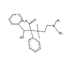 CC(C)N(CCC(C)(C)C(C(N)=O)(c1ccccc1)C(O)c1ccccc1)C(C)C